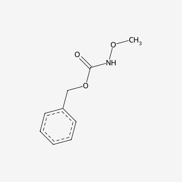 CONC(=O)OCc1ccccc1